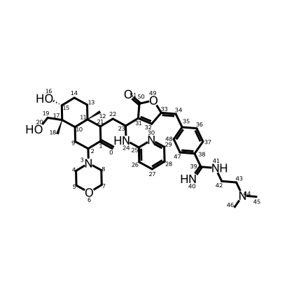 C=C1C(N2CCOCC2)CC2[C@](C)(CC[C@@H](O)[C@@]2(C)CO)C1CC(Nc1ccccn1)C1=C/C(=C\c2ccc(C(=N)NCCN(C)C)cc2)OC1=O